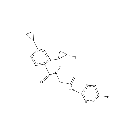 O=C(CN1C[C@@]2(C[C@@H]2F)c2cc(C3CC3)ccc2C1=O)Nc1ncc(F)cn1